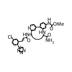 COC(=O)Nc1ccc2c(c1)N[C@@H](C(N)=O)CCCC[C@H](NC(=O)/C=C/c1cc(Cl)ccc1-n1cnnn1)c1cc-2ccn1